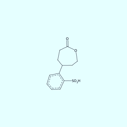 O=C1CCC(c2ccccc2S(=O)(=O)O)CCO1